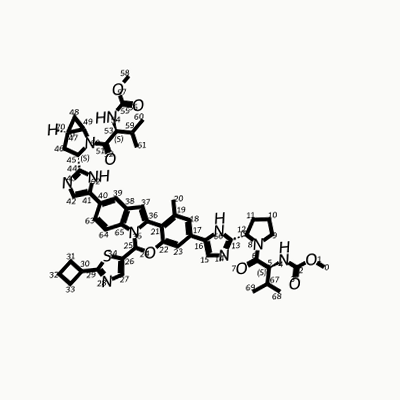 COC(=O)N[C@H](C(=O)N1CCC[C@H]1c1ncc(-c2cc(C)c3c(c2)OC(c2cnc(C4CCC4)s2)n2c-3cc3cc(-c4cnc([C@@H]5C[C@H]6CC6N5C(=O)[C@@H](NC(=O)OC)C(C)C)[nH]4)ccc32)[nH]1)C(C)C